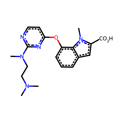 CN(C)CCN(C)c1nccc(Oc2cccc3cc(C(=O)O)n(C)c23)n1